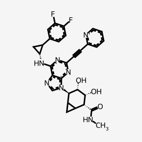 CNC(=O)[C@@H]1C2CC2[C@@H](n2cnc3c(N[C@@H]4CC4c4ccc(F)c(F)c4)nc(C#Cc4ccccn4)nc32)[C@H](O)[C@@H]1O